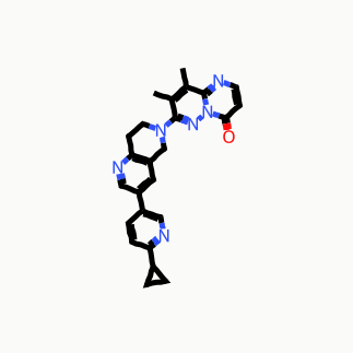 Cc1c(N2CCc3ncc(-c4ccc(C5CC5)nc4)cc3C2)nn2c(=O)ccnc2c1C